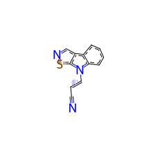 N#C/C=C/n1c2ccccc2c2cnsc21